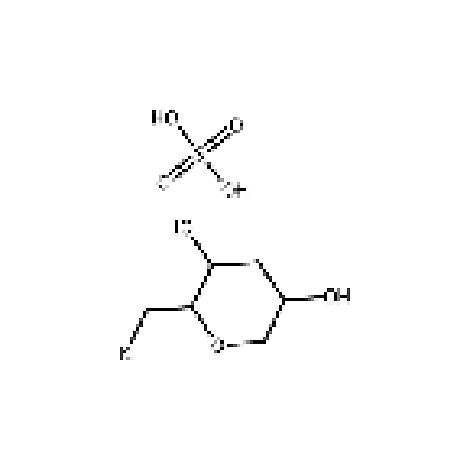 O=S(=O)(O)O.OC1COC([CH2][K])C(O)C1